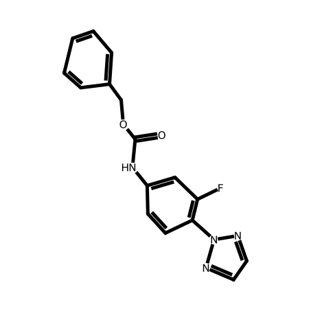 O=C(Nc1ccc(-n2nccn2)c(F)c1)OCc1ccccc1